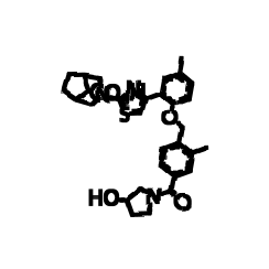 Cc1ccc(OCc2ccc(C(=O)N3CCC(O)C3)cc2C)c(-c2csc(N3CC4CCC(C3)C4C(=O)O)n2)c1